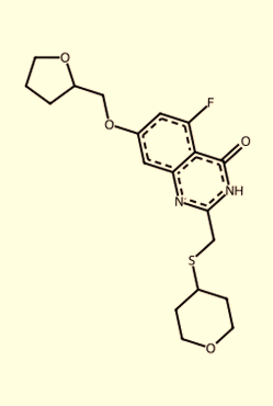 O=c1[nH]c(CSC2CCOCC2)nc2cc(OCC3CCCO3)cc(F)c12